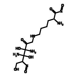 NC(CCCCNCC(=O)C(N)(O)C(N)(O)C(CO)N=O)C(=O)N=O